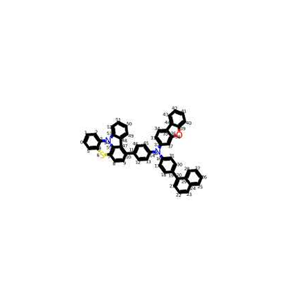 c1ccc2c(c1)Sc1ccc(-c3ccc(N(c4ccc(-c5cccc6ccccc56)cc4)c4ccc5c(c4)oc4ccccc45)cc3)c3c4ccccc4n-2c13